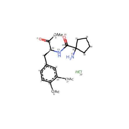 COC(=O)[C@H](Cc1ccc(OC(C)=O)c(OC(C)=O)c1)NC(=O)C1(N)CCCC1.Cl